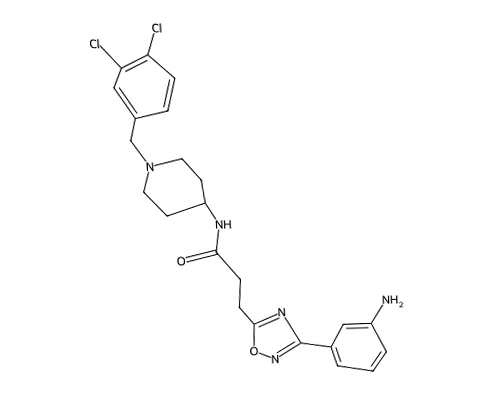 Nc1cccc(-c2noc(CCC(=O)NC3CCN(Cc4ccc(Cl)c(Cl)c4)CC3)n2)c1